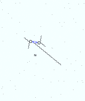 CCCCCCCCCCCCCCCCCCCCCCCCCCCC(C=Nc1ccc(CCCCC)c(CCCCC)c1)=Nc1ccc(CCCCC)c(CCCCC)c1.[Ni]